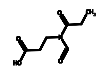 CCC(=O)N(C=O)CCC(=O)O